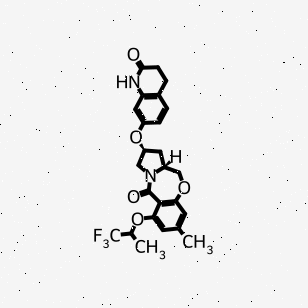 Cc1cc2c(c(OC(C)C(F)(F)F)c1)C(=O)N1C[C@@H](Oc3ccc4c(c3)NC(=O)CC4)C[C@@H]1CO2